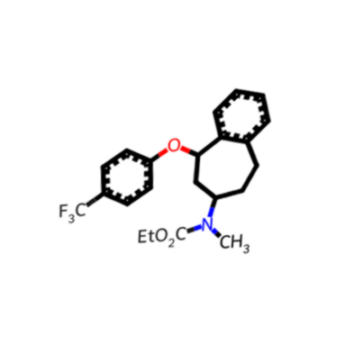 CCOC(=O)N(C)C1CCc2ccccc2C(Oc2ccc(C(F)(F)F)cc2)C1